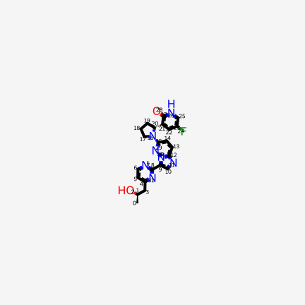 C[C@@H](O)Cc1ccnc(-c2cnc3ccc(N4CCC[C@@H]4c4cc(F)c[nH]c4=O)nn23)n1